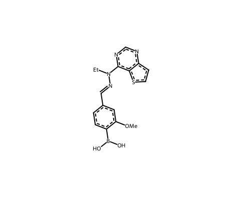 CCN(/N=C/c1ccc(B(O)O)c(OC)c1)c1ncnc2ccsc12